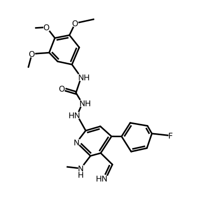 CNc1nc(NNC(=O)Nc2cc(OC)c(OC)c(OC)c2)cc(-c2ccc(F)cc2)c1C=N